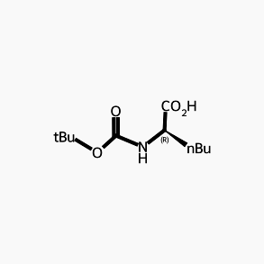 CCCC[C@@H](NC(=O)OC(C)(C)C)C(=O)O